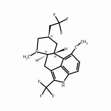 CCc1ccc2[nH]c(C(F)(F)F)c3c2c1[C@H]1C[C@H]([CH]C(F)(F)F)CN(C)[C@@H]1C3